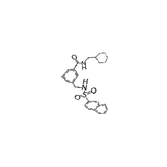 O=C(NCC1CCCCC1)c1cccc(CNS(=O)(=O)c2ccc3ccccc3c2)c1